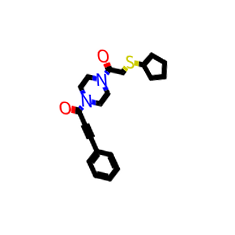 O=C(C#Cc1ccccc1)N1CCN(C(=O)CSC2CCCC2)CC1